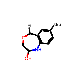 CCC1OCC(O)Nc2ccc(C(C)(C)C)cc21